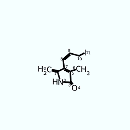 C=C1NC(=O)C(C)=C1/C=C\CI